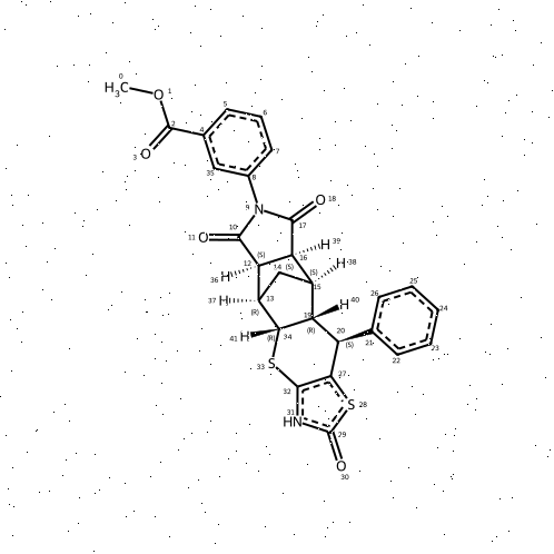 COC(=O)c1cccc(N2C(=O)[C@@H]3[C@H]4C[C@@H]([C@@H]3C2=O)[C@@H]2[C@@H](c3ccccc3)c3sc(=O)[nH]c3S[C@H]42)c1